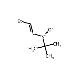 CCC=N[S@@+]([O-])C(C)(C)C